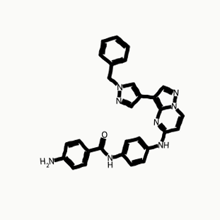 Nc1ccc(C(=O)Nc2ccc(Nc3ccn4ncc(-c5cnn(Cc6ccccc6)c5)c4n3)cc2)cc1